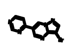 Brc1cnn2cc(-c3ccncn3)cnc12